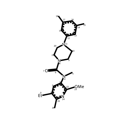 CCc1cc(N(C)C(=O)N2CCN(c3cc(C)cc(C)c3)CC2)c(OC)nc1C